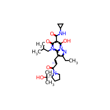 CCc1nn2c(O)c(C(=O)NC3CC3)c(=O)n(CC(C)C)c2c1/C=C/C(=O)N1CCC[C@@H]1C(C)(C)O